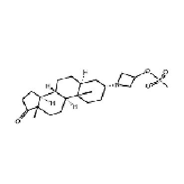 C[C@]12CC[C@@H](N3CC(OS(C)(=O)=O)C3)C[C@@H]1CC[C@@H]1[C@@H]2CC[C@]2(C)C(=O)CC[C@@H]12